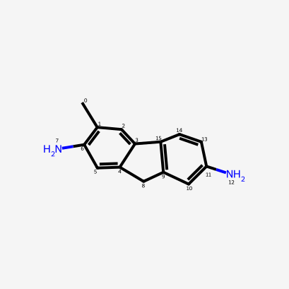 Cc1cc2c(cc1N)Cc1cc(N)ccc1-2